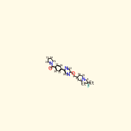 CCC(F)(CC)CN1CCC(COc2cnc(-c3ccc(C(=O)N4CCCC4)cc3)cn2)CC1